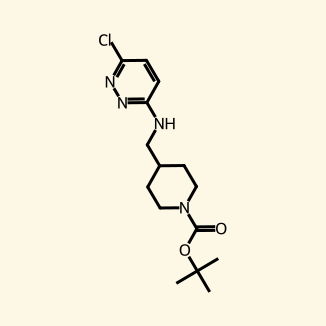 CC(C)(C)OC(=O)N1CCC(CNc2ccc(Cl)nn2)CC1